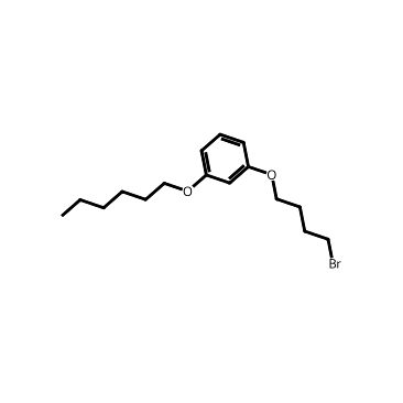 CCCCCCOc1cccc(OCCCCBr)c1